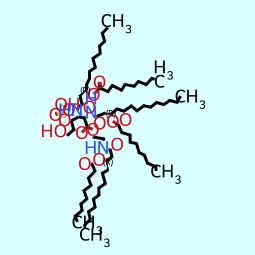 CCCCCCCCCCC[C@H](CC(=O)NCCOC1OC(CO)C(OS(=O)(=O)O)C(NC(=O)C[C@@H](CCCCCCCCCCC)OC(=O)CCCCCCCCC)C1NC(=O)C[C@@H](CCCCCCCCCCC)OC(=O)CCCCCCCCC)OC(=O)CCCCCCCCC